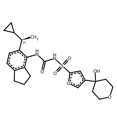 C[C@@H](c1ccc2c(c1NC(=O)NS(=O)(=O)c1cc(C3(O)CCOCC3)co1)CCC2)C1CC1